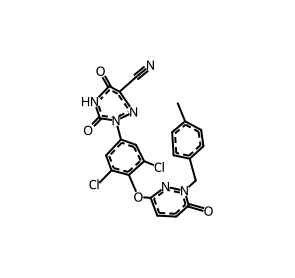 Cc1ccc(Cn2nc(Oc3c(Cl)cc(-n4nc(C#N)c(=O)[nH]c4=O)cc3Cl)ccc2=O)cc1